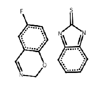 Fc1ccc2c(c1)C=NCO2.S=C1N=c2ccccc2=N1